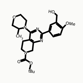 COc1ccc(-c2nc3c(c(N4CCOCC4C)n2)CCN(C(=O)OC(C)(C)C)C3)cc1CO